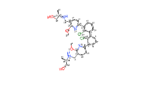 COc1nc(-c2cccc(-c3cccc(-c4ccc(CN[C@H](C)CO)c(OC)n4)c3Cl)c2Cl)ccc1CN[C@H](C)CO